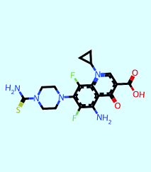 NC(=S)N1CCN(c2c(F)c(N)c3c(=O)c(C(=O)O)cn(C4CC4)c3c2F)CC1